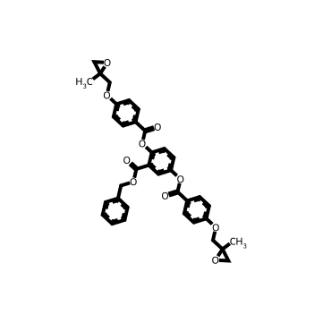 CC1(COc2ccc(C(=O)Oc3ccc(OC(=O)c4ccc(OCC5(C)CO5)cc4)c(C(=O)OCc4ccccc4)c3)cc2)CO1